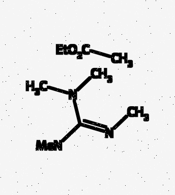 CCOC(C)=O.CN=C(NC)N(C)C